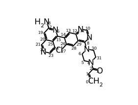 C=CC(=O)N1CCN(c2ncnc3cc(-c4nc(N)cc5cnccc45)c(Cl)cc23)CC1